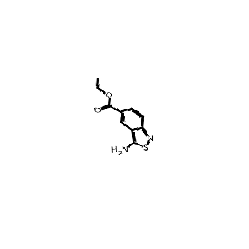 CCOC(=O)c1ccc2nsc(N)c2c1